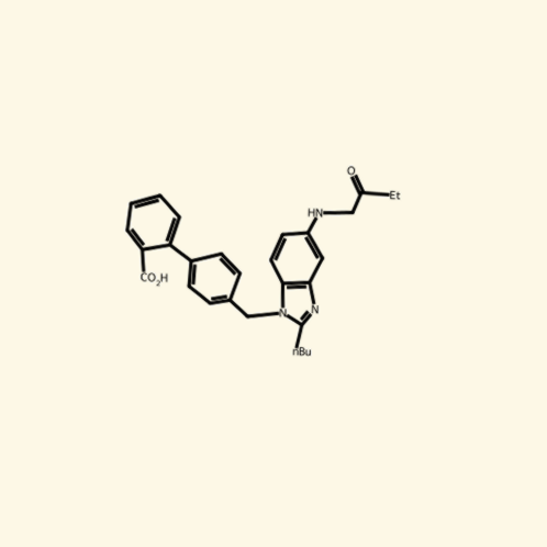 CCCCc1nc2cc(NCC(=O)CC)ccc2n1Cc1ccc(-c2ccccc2C(=O)O)cc1